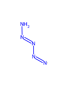 [N]=NN=NN